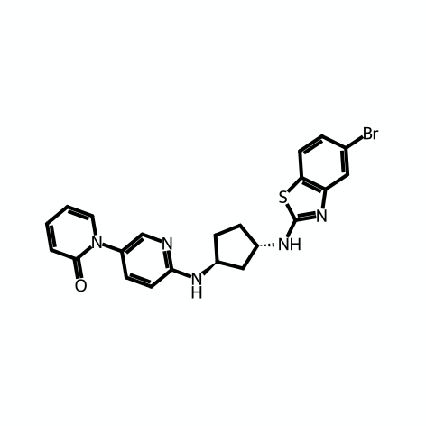 O=c1ccccn1-c1ccc(N[C@H]2CC[C@H](Nc3nc4cc(Br)ccc4s3)C2)nc1